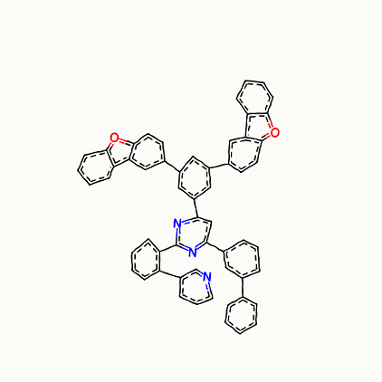 c1ccc(-c2cccc(-c3cc(-c4cc(-c5ccc6oc7ccccc7c6c5)cc(-c5ccc6oc7ccccc7c6c5)c4)nc(-c4ccccc4-c4cccnc4)n3)c2)cc1